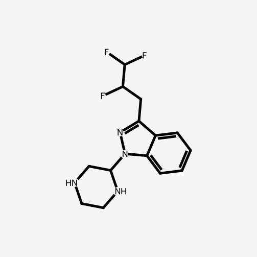 FC(F)C(F)Cc1nn(C2CNCCN2)c2ccccc12